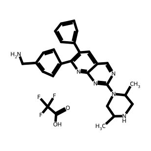 CC1CN(c2ncc3cc(-c4ccccc4)c(-c4ccc(CN)cc4)nc3n2)C(C)CN1.O=C(O)C(F)(F)F